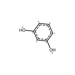 Oc1[c]c(O)c[c]c1